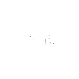 C[C@@H](OC(C)(C)C)[C@@H](C(=O)OC(C)(C)C)N1Cc2cc(-c3ccc(C#Cc4ccccc4)cc3)ccc2C1=O